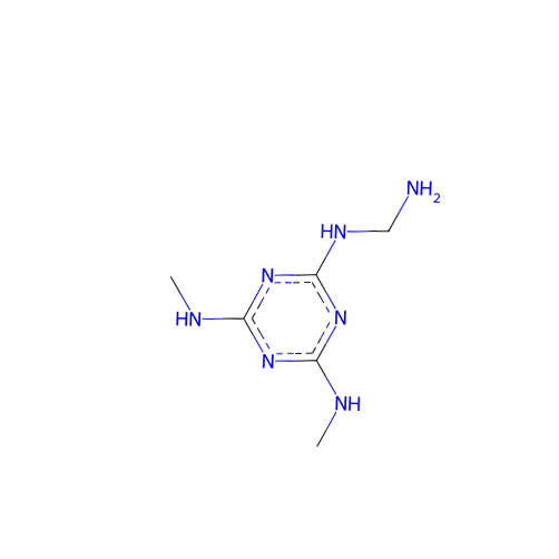 CNc1nc(NC)nc(NCN)n1